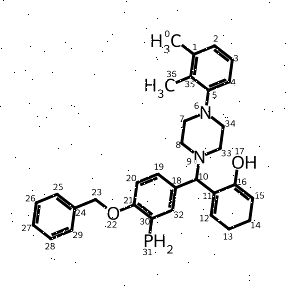 Cc1cccc(N2CCN(C(C3=CCCC=C3O)c3ccc(OCc4ccccc4)c(P)c3)CC2)c1C